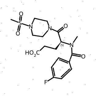 CN(C(=O)c1ccc(F)cc1)[C@@H](CCC(=O)O)C(=O)N1CCN(S(C)(=O)=O)CC1